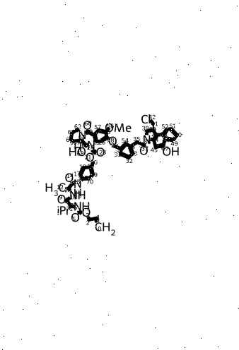 C=CCOC(=O)N[C@H](C(=O)N[C@@H](C)C(=O)Nc1ccc(COC(=O)N2c3cc(OCc4cccc(CC(=O)N5C[C@@H](CCl)c6c5cc(O)c5ccccc65)c4)c(OC)cc3C(=O)N3CCCC[C@H]3C2O)cc1)C(C)C